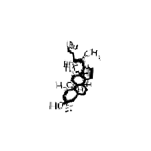 CC[C@]1(O)CC[C@@]2(C)C(CC[C@H]3[C@@H]4C=C[C@H]([C@H](C)[C@@H](O)CCC(C)(C)C)[C@@]4(C)CC[C@@H]32)C1